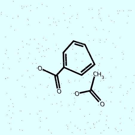 CC([O])=O.[O]C(=O)c1ccccc1